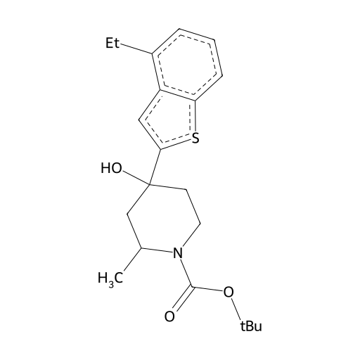 CCc1cccc2sc(C3(O)CCN(C(=O)OC(C)(C)C)C(C)C3)cc12